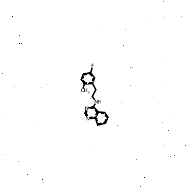 Cc1ccc(F)cc1CCNc1ncnc2ccccc12